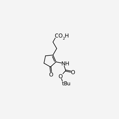 CC(C)(C)OC(=O)NC1=C(CCC(=O)O)CCC1=O